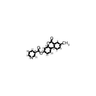 Cc1ccc2c(c1)c(=O)oc1cc(OC(=O)c3cccnc3)ccc12